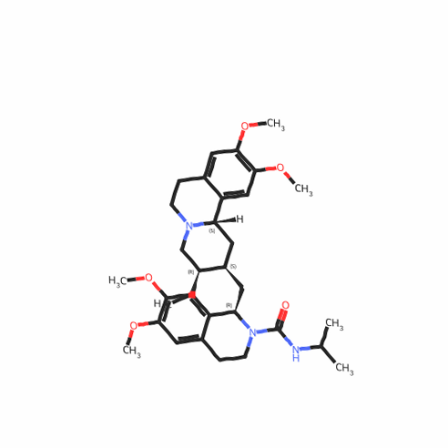 CC[C@H]1CN2CCc3cc(OC)c(OC)cc3[C@@H]2C[C@H]1C[C@@H]1c2cc(OC)c(OC)cc2CCN1C(=O)NC(C)C